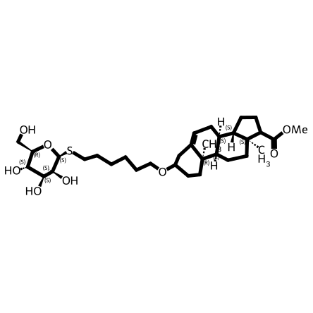 COC(=O)C1CC[C@H]2[C@@H]3CC=C4CC(OCCCCCCS[C@@H]5O[C@H](CO)[C@@H](O)[C@H](O)[C@@H]5O)CC[C@]4(C)[C@@H]3CC[C@]12C